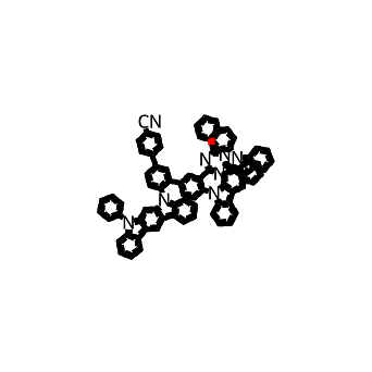 N#Cc1ccc(-c2ccc(-n3c4ccccc4c4cc5c6ccccc6n(-c6ccccc6)c5cc43)c(-c3ccc(-n4c5ccccc5c5cc6c7ccccc7n(-c7ccccc7)c6cc54)c(-c4nc(-c5ccccc5)nc(-c5ccccc5)n4)c3)c2)cc1